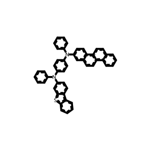 c1ccc(N(c2ccc(N(c3ccccc3)c3ccc4c(c3)sc3ccccc34)cc2)c2ccc3c(ccc4c5ccccc5ccc34)c2)cc1